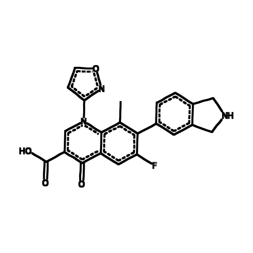 Cc1c(-c2ccc3c(c2)CNC3)c(F)cc2c(=O)c(C(=O)O)cn(-c3ccon3)c12